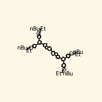 CCCCC(CC)COC1=CCC(C2=CC(C3=CC4=C(CC3)C3=CC=C(C5=CC6=C(CC5)c5ccc(C7C=C(c8ccc(OCC(CC)CCCC)cc8)C=C(c8ccc(OCC(CC)CCCC)cc8)C7)cc5C6)CC3C4)=CC(C3C=CC(OCC(CC)CCCC)=CC3)C2)C=C1